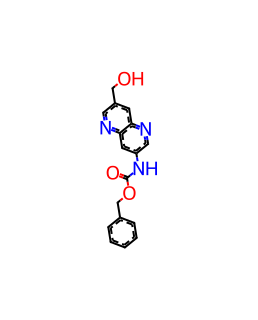 O=C(Nc1cnc2cc(CO)cnc2c1)OCc1ccccc1